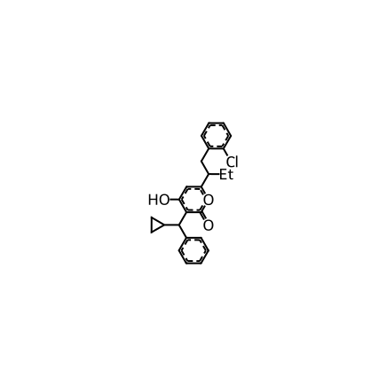 CCC(Cc1ccccc1Cl)c1cc(O)c(C(c2ccccc2)C2CC2)c(=O)o1